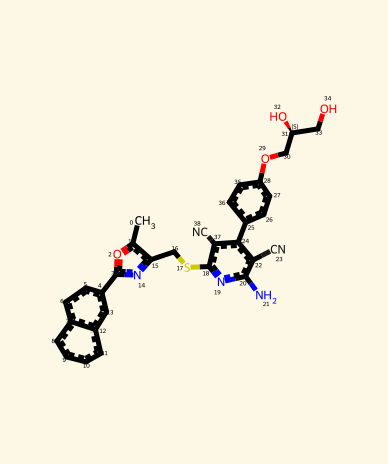 Cc1oc(-c2ccc3ccccc3c2)nc1CSc1nc(N)c(C#N)c(-c2ccc(OC[C@@H](O)CO)cc2)c1C#N